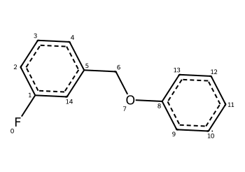 Fc1cccc(COc2c[c]ccc2)c1